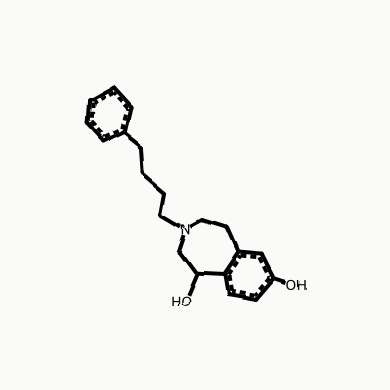 Oc1ccc2c(c1)CCN(CCCCc1ccccc1)CC2O